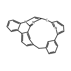 c1cc2cc(c1)-c1cccc(n1)Cc1cn3c4ccccc4c4ccc(cc4c3n1)C2